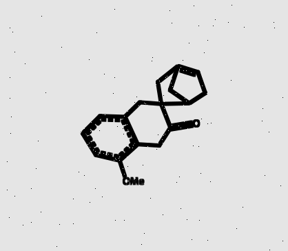 COc1cccc2c1CC(=O)C1(CC3=CCC1C3)C2